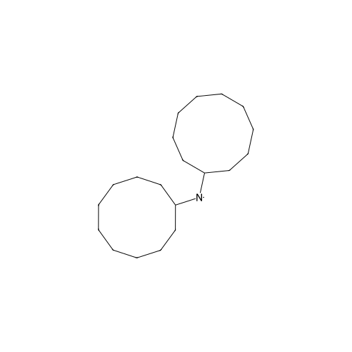 C1CCCCC([N]C2CCCCCCCCC2)CCCC1